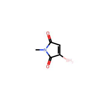 BC1=CC(=O)N(C)C1=O